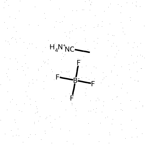 CC#N.F[B-](F)(F)F.[NH4+]